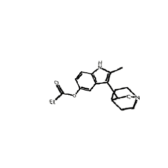 CCC(=O)Oc1ccc2[nH]c(C)c(C3CN4CCC3CC4)c2c1